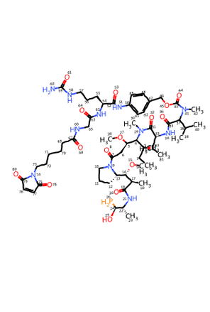 CC[C@H](C)[C@@H]([C@@H](CC(=O)N1CCC[C@H]1[C@H](OC)[C@@H](C)C(=O)N[C@H](C)[C@@H](O)P)OC)N(C)C(=O)[C@@H](NC(=O)C(C(C)C)N(C)C(=O)OCc1ccc(NC(=O)[C@H](CCCNC(N)=O)NC(=O)CNC(=O)CCCCCN2C(=O)C=CC2=O)cc1)C(C)C